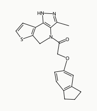 Cc1n[nH]c2c1N(C(=O)COc1ccc3c(c1)CCC3)Cc1sccc1-2